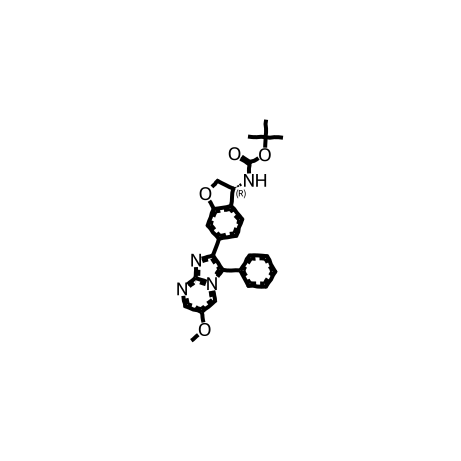 COc1cnc2nc(-c3ccc4c(c3)OC[C@@H]4NC(=O)OC(C)(C)C)c(-c3ccccc3)n2c1